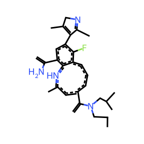 C=C(N)c1cc(C2=C(C)CN=C2C)c(F)c2cccc(C(=C)N(CCC)CC(C)C)cc(C)[nH]c12